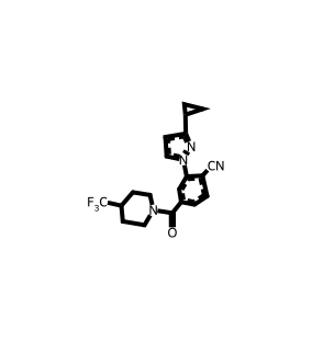 N#Cc1ccc(C(=O)N2CCC(C(F)(F)F)CC2)cc1-n1ccc(C2CC2)n1